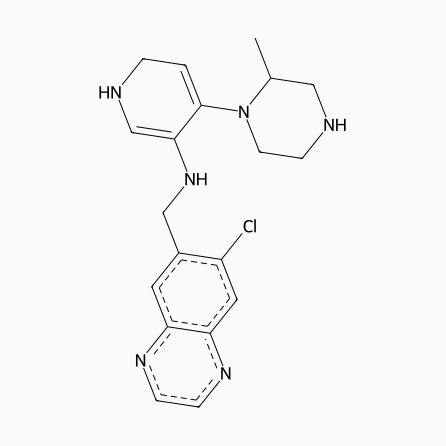 CC1CNCCN1C1=CCNC=C1NCc1cc2nccnc2cc1Cl